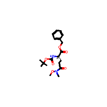 CON(C)C(=O)CC[C@H](NC(=O)OC(C)(C)C)C(=O)OCc1ccccc1